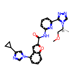 COC[C@@H](C)n1cnnc1-c1cccc(NC(=O)c2cc3c(-n4cnc(C5CC5)c4)cccc3o2)n1